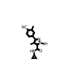 Cc1cc(-c2nn(C(C)C)c(C(=O)NC3CC3)c2C)ccc1C#N